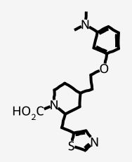 CN(C)c1cccc(OCCC2CCN(C(=O)O)C(Cc3cncs3)C2)c1